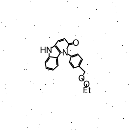 CCOOCc1ccc(-n2c(=O)ccc3[nH]c4ccccc4c32)cc1